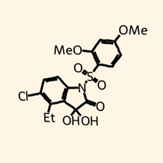 CCc1c(Cl)ccc2c1C(O)(O)C(=O)N2S(=O)(=O)c1ccc(OC)cc1OC